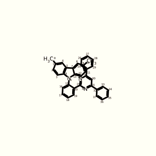 Cc1ccc2c(c1)c1cc(C)ccc1n2-c1ccccc1-c1nc(-c2ccccc2)cc(-c2ccccc2)n1